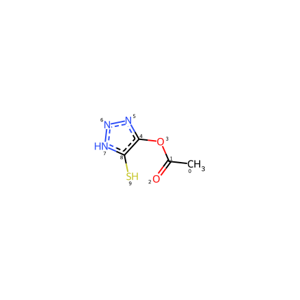 CC(=O)Oc1nn[nH]c1S